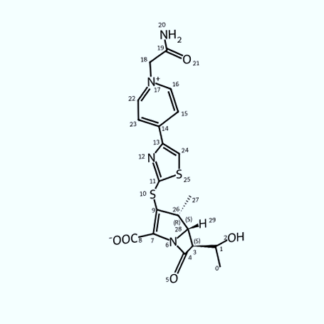 CC(O)[C@H]1C(=O)N2C(C(=O)[O-])=C(Sc3nc(-c4cc[n+](CC(N)=O)cc4)cs3)[C@H](C)[C@H]12